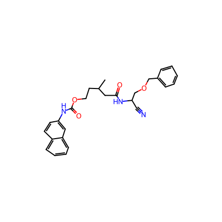 CC(CCOC(=O)Nc1ccc2ccccc2c1)CC(=O)NC(C#N)COCc1ccccc1